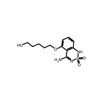 NC1=NS(=O)(=O)Nc2cccc(OCCCCCO)c21